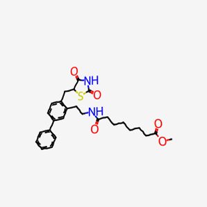 COC(=O)CCCCCCC(=O)NCCc1cc(-c2ccccc2)ccc1CC1SC(=O)NC1=O